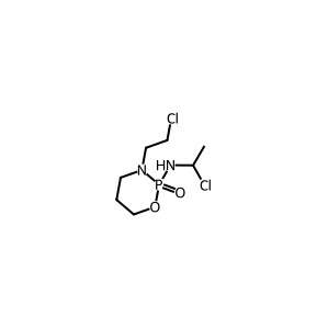 CC(Cl)NP1(=O)OCCCN1CCCl